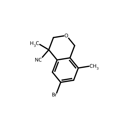 Cc1cc(Br)cc2c1COCC2(C)C#N